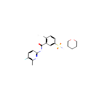 COc1ccc(S(=O)(=O)N[C@H]2CCCOC2)cc1C(=O)Nc1ccc(F)c(C)n1